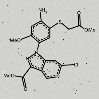 COC(=O)CSc1cc(-n2nc(C(=O)OC)c3cnc(Cl)cc32)c(OC)cc1N